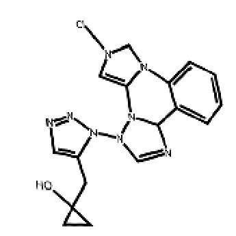 OC1(Cc2cnnn2N2C=NC3c4ccccc4N4CN(Cl)C=C4N32)CC1